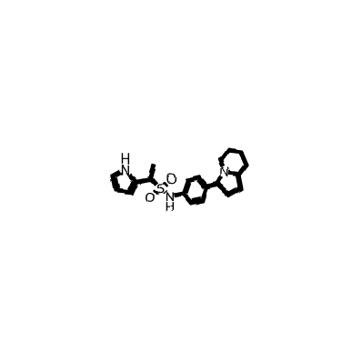 CC(c1ccc[nH]1)S(=O)(=O)Nc1ccc(C2CCC3CCCCN32)cc1